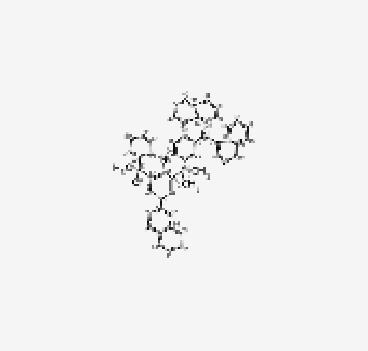 CC1(C)C2=CC(c3ccc4ccccc4c3)CC3=C2N(c2ccc(N(c4cccc5ccccc45)c4cccc5ccccc45)cc21)c1ccccc1C3(C)C